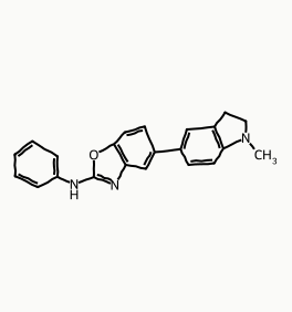 CN1CCc2cc(-c3ccc4oc(Nc5ccccc5)nc4c3)ccc21